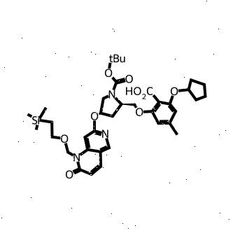 Cc1cc(OC[C@H]2C[C@H](Oc3cc4c(ccc(=O)n4COCC[Si](C)(C)C)cn3)CN2C(=O)OC(C)(C)C)c(C(=O)O)c(OC2CCCC2)c1